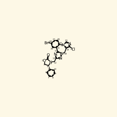 O=C1OC[C@H](c2ccccc2)N1Cc1nc2n(n1)Cc1c(Cl)ncn1-c1ccc(Br)cc1-2